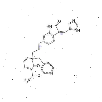 NC(=O)C1=CC=C[N+](C/C=C/c2ccc3c(c2)NC(=O)/C3=C\c2cnc[nH]2)(Cc2ccncc2)C1=O